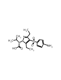 CCc1nn(N(C(=O)O)C(C)C)c(CC)c1S(=O)(=O)c1ccc(N)cc1